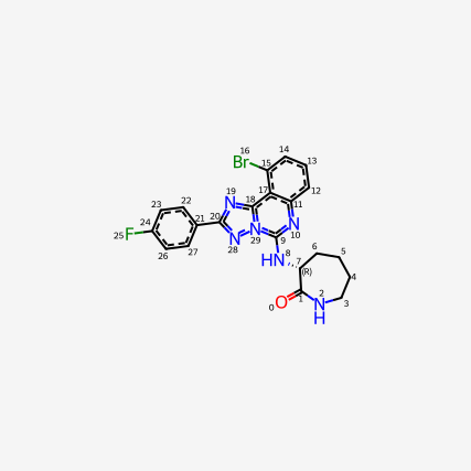 O=C1NCCCC[C@H]1Nc1nc2cccc(Br)c2c2nc(-c3ccc(F)cc3)nn12